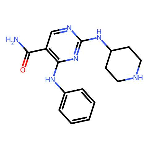 NC(=O)c1cnc(NC2CCNCC2)nc1Nc1ccccc1